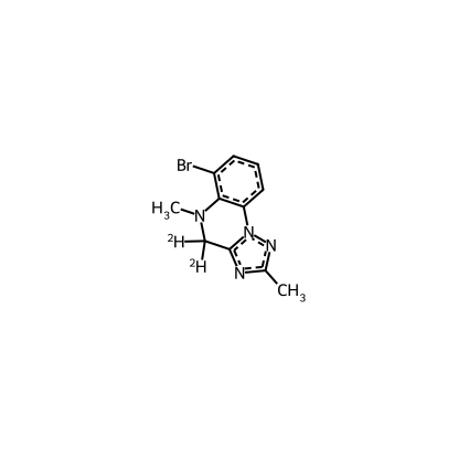 [2H]C1([2H])c2nc(C)nn2-c2cccc(Br)c2N1C